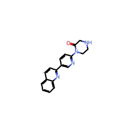 O=C1CNCCN1c1ccc(-c2c[c]c3ccccc3n2)cn1